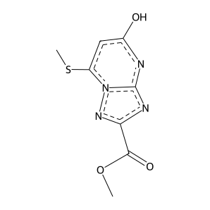 COC(=O)c1nc2nc(O)cc(SC)n2n1